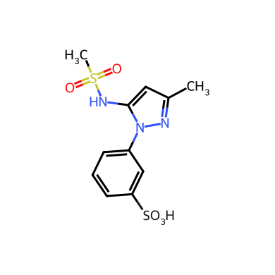 Cc1cc(NS(C)(=O)=O)n(-c2cccc(S(=O)(=O)O)c2)n1